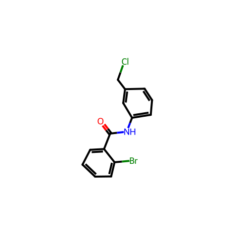 O=C(Nc1cccc(CCl)c1)c1ccccc1Br